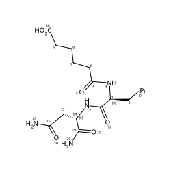 CC(C)C[C@H](NC(=O)CCCCC(=O)O)C(=O)N[C@@H](CC(N)=O)C(N)=O